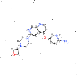 Nc1ccc(Oc2ccnc3cnc(N4CCN(C5COC5)CC4)cc23)cn1